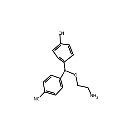 N#Cc1ccc(B(OCCN)c2ccc(C#N)cc2)cc1